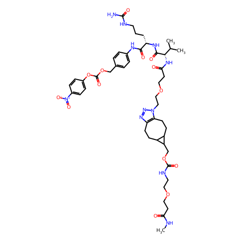 CNC(=O)CCOCCNC(=O)OCC1C2CCc3nnn(CCOCCC(=O)N[C@H](C(=O)N[C@@H](CCCNC(N)=O)C(=O)Nc4ccc(COC(=O)Oc5ccc([N+](=O)[O-])cc5)cc4)C(C)C)c3CCC21